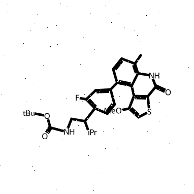 COc1csc2c(=O)[nH]c3c(C)ccc(-c4ccc(C(CNC(=O)OC(C)(C)C)C(C)C)c(F)c4)c3c12